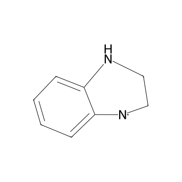 c1ccc2c(c1)[N]CCN2